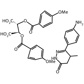 CC1CC(=O)NN=C1c1ccc(N)cc1.COc1ccc(C(=O)O[C@@H](C(=O)O)[C@@H](OC(=O)c2ccc(OC)cc2)C(=O)O)cc1